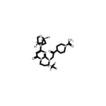 CC(=O)N1CCC(C(=O)CN2c3nc(N4C[C@@H]5C[C@H]4CO5)cc(=O)n3CC[C@H]2C(F)(F)F)CC1